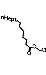 CCCCCCCCCCCCCC(=O)OCCl